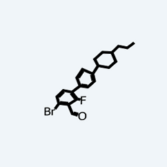 CCCC1CCC(c2ccc(-c3ccc(Br)c(C=O)c3F)cc2)CC1